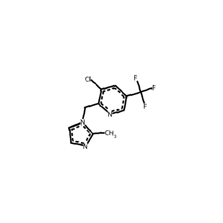 Cc1nccn1Cc1ncc(C(F)(F)F)cc1Cl